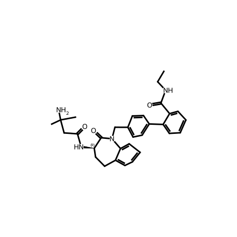 CCNC(=O)c1ccccc1-c1ccc(CN2C(=O)[C@H](NC(=O)CC(C)(C)N)CCc3ccccc32)cc1